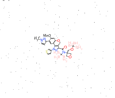 BC(B)(B)OCC1(N(C(=O)c2nn(-c3ccsc3)c3c2COc2cc(OC)c(-c4ccn(C)n4)cc2-3)C(B)(B)B)COC1